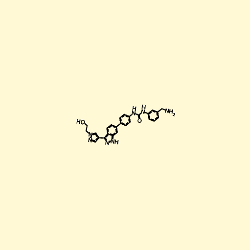 NCc1cccc(NC(=O)Nc2ccc(-c3ccc4c(-c5cnn(CCO)c5)n[nH]c4c3)cc2)c1